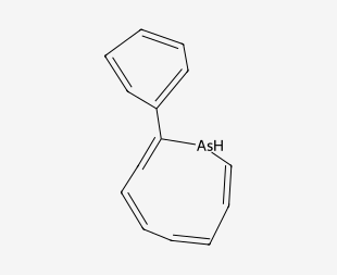 C1=CC=C[AsH]C(c2ccccc2)=CC=C1